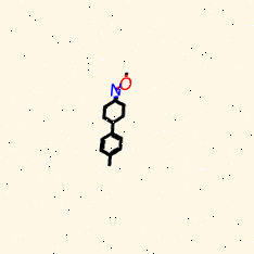 CON=C1CCC(c2ccc(C)cc2)CC1